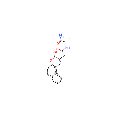 C[C@H](NC(=O)CC(Cc1cccc2ccccc12)C(=O)O)C(N)=O